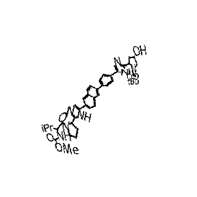 COC(=O)NC(C(=O)N1CCCC1c1ncc(-c2ccc3cc(-c4ccc(-c5cnc(C6CC(O)CN6C(=O)OC(C)(C)C)[nH]5)cc4)ccc3c2)[nH]1)C(C)C